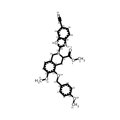 COC(=O)C1Cc2c(ccc(OC)c2OCc2ccc(OC)cc2)CN1c1nc2ccc(C#N)cc2o1